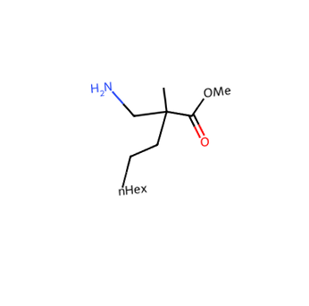 CCCCCCCCC(C)(CN)C(=O)OC